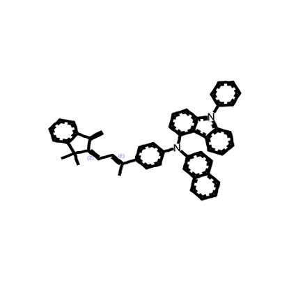 C=C1/C(=C\C=C(/C)c2ccc(N(c3ccc4ccccc4c3)c3cccc4c3c3ccccc3n4-c3ccccc3)cc2)C(C)(C)c2ccccc21